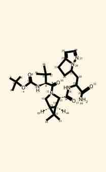 CC(C)(C)OC(=O)N[C@H](C(=O)N1C[C@H]2[C@@H]([C@H]1C(=O)NC(CC1CCc3ccnn31)C(N)=O)C2(C)C)C(C)(C)C